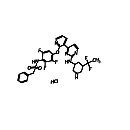 CC(F)(F)C1CNCC(Nc2nccc(-c3cccnc3Oc3cc(F)c(NS(=O)(=O)Cc4ccccc4)c(F)c3F)n2)C1.Cl